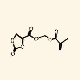 C=C(C)C(=O)OCOC(=O)C1COC(=O)O1